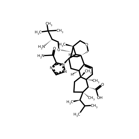 CC(C)[C@@H](C)[C@@]1(C)CC[C@]2(C)[C@H]3CC[C@@H]4[C@@]5(COC[C@@]4(C)[C@@H](OC[C@H](N)C(C)(C)C)[C@H](n4ncnc4C(N)=O)C5)C3=CC[C@@]2(C)[C@@H]1C(=O)O